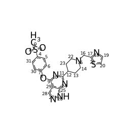 CS(=O)(=O)c1ccc(Oc2nc(C3CCN(Cc4nccs4)CC3)nc3[nH]ncc23)cc1